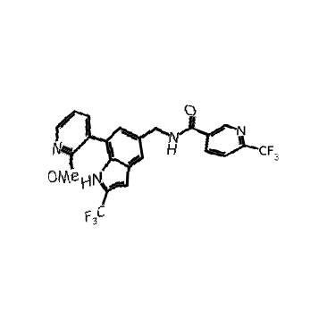 COc1ncccc1-c1cc(CNC(=O)c2ccc(C(F)(F)F)nc2)cc2cc(C(F)(F)F)[nH]c12